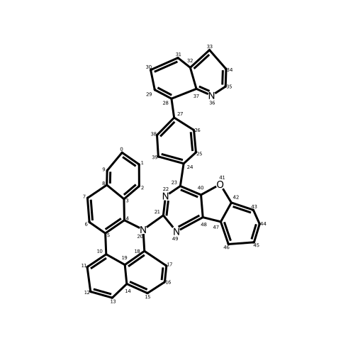 c1ccc2c3c(ccc2c1)-c1cccc2cccc(c12)N3c1nc(-c2ccc(-c3cccc4cccnc34)cc2)c2oc3ccccc3c2n1